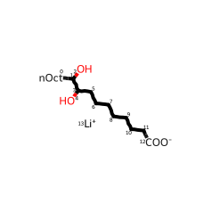 CCCCCCCCC(O)C(O)CCCCCCCC(=O)[O-].[Li+]